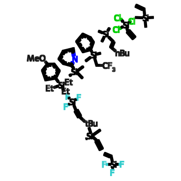 C#C[Si](C)(C)C.C#C[Si](Cl)(Cl)Cl.C=C[Si](C)(C)C.C=C[Si](F)(F)F.CC(C)(C)C#C[Si](F)(F)F.CCCCC=C[Si](C)(C)C.CC[Si](CC)(CC)c1ccc(OC)cc1.C[Si](C)(C)c1ccccn1.C[Si](C)(CC(F)(F)F)c1ccccc1